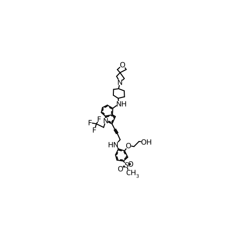 CS(=O)(=O)c1ccc(NCC#Cc2cc3c(NC4CCC(N5CC6(COC6)C5)CC4)cccc3n2CC(F)(F)F)c(OCCO)c1